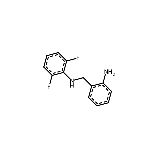 Nc1ccccc1CNc1c(F)cccc1F